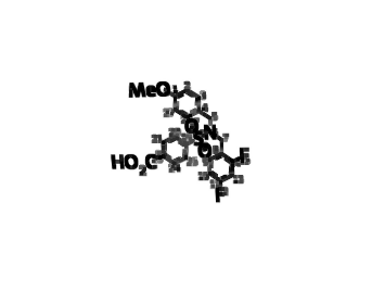 COc1ccc(CN(Cc2ccc(F)cc2F)S(=O)(=O)c2ccc(C(=O)O)cc2)cc1